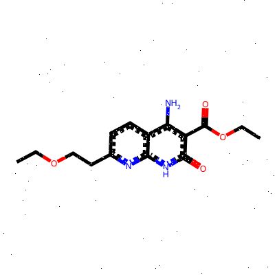 CCOCCc1ccc2c(N)c(C(=O)OCC)c(=O)[nH]c2n1